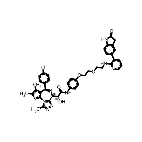 Cc1sc2c(c1C)C(c1ccc(Cl)cc1)=N[C@@H]([C@@H](O)C(=O)Nc1ccc(OCCOCCNc3ncccc3-c3ccc4c(c3)CC(=O)N4)cc1)c1nnc(C)n1-2